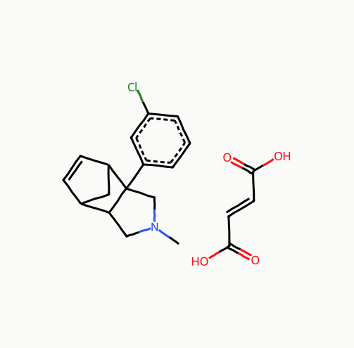 CN1CC2C3C=CC(C3)C2(c2cccc(Cl)c2)C1.O=C(O)/C=C/C(=O)O